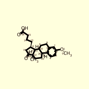 COc1ccc2c(c1)CC[C@H]1[C@@H]3[C@H](CCCC(=O)O)CC(=O)[C@@]3(C)CC[C@H]21